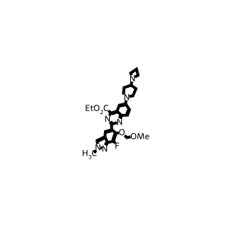 CCOC(=O)c1nc(-c2cc3cn(C)nc3c(F)c2OCOC)nc2ccc(N3CCC(N4CCC4)CC3)cc12